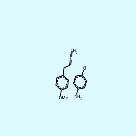 C=C=CCc1ccc(OC)cc1.Nc1ccc(Cl)cc1